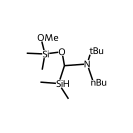 CCCCN(C(O[Si](C)(C)OC)[SiH](C)C)C(C)(C)C